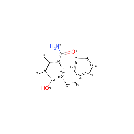 CC(CO)C(C)[C](C(N)=O)c1cccc2ccccc12